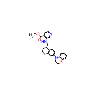 COC(=O)c1ccncc1NC[C@@H]1CCCc2cc(N3CCOc4ccccc43)ccc21